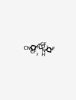 [C-]#[N+]c1ccc(N(CC(=O)Nc2ccc(F)cc2)CC(F)(F)F)cc1C(F)(F)F